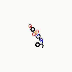 CCC(CN1CC2(CCN(S(=O)(=O)c3ccc(OC)cc3)CC2)C1)c1ccccc1